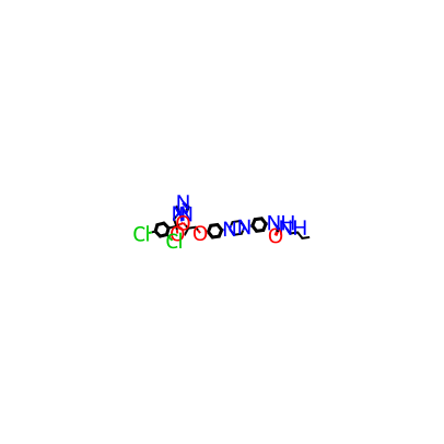 CCCCNC(=O)Nc1ccc(N2CCN(c3ccc(OCC4COC(Cn5cncn5)(c5ccc(Cl)cc5Cl)O4)cc3)CC2)cc1